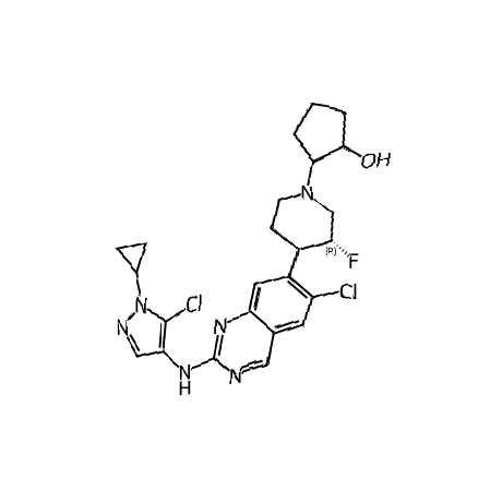 OC1CCCC1N1CCC(c2cc3nc(Nc4cnn(C5CC5)c4Cl)ncc3cc2Cl)[C@@H](F)C1